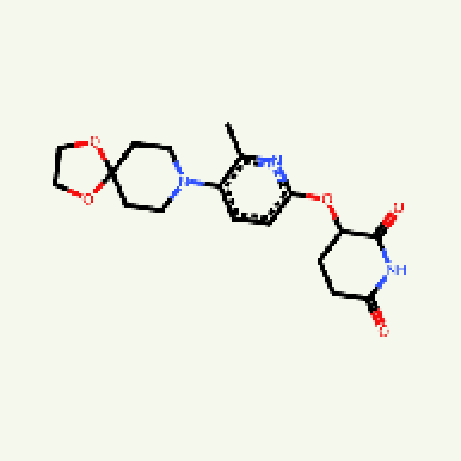 Cc1nc(OC2CCC(=O)NC2=O)ccc1N1CCC2(CC1)OCCO2